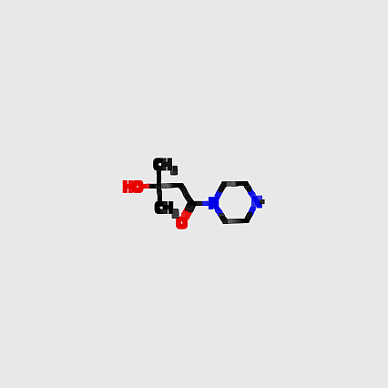 CC(C)(O)CC(=O)N1CC[N]CC1